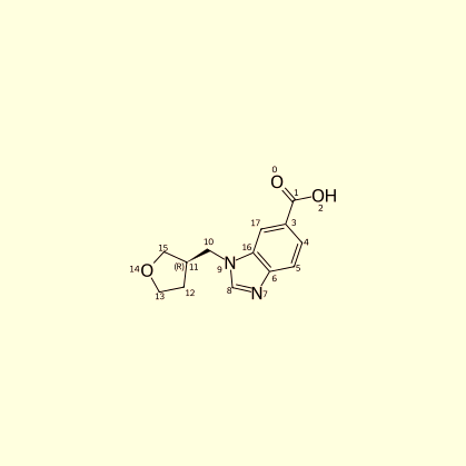 O=C(O)c1ccc2ncn(C[C@H]3CCOC3)c2c1